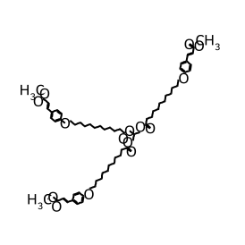 COC(=O)C=Cc1ccc(OCCCCCCCCCCCC(=O)OCC(COC(=O)CCCCCCCCCCCOc2ccc(C=CC(=O)OC)cc2)OC(=O)CCCCCCCCCCCOc2ccc(C=CC(=O)OC)cc2)cc1